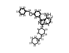 Nc1nccn2c(C3CCC(CN4CCCCC4)CC3)nc(-c3cccc(OCc4ccccc4)c3)c12